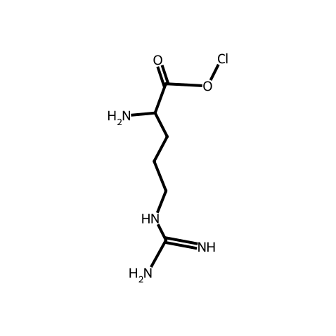 N=C(N)NCCCC(N)C(=O)OCl